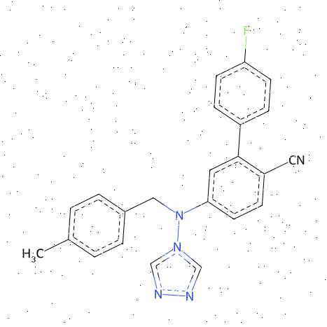 Cc1ccc(CN(c2ccc(C#N)c(-c3ccc(F)cc3)c2)n2cnnc2)cc1